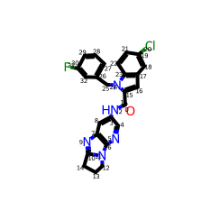 O=C(Nc1cnc2c(c1)nc1n2CCC1)c1cc2cc(Cl)ccc2n1Cc1cccc(F)c1